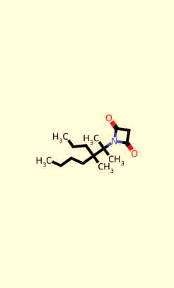 CCCCC(C)(CCC)C(C)(C)N1C(=O)CC1=O